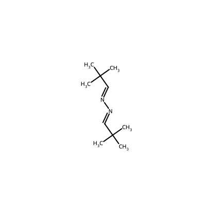 CC(C)(C)C=NN=CC(C)(C)C